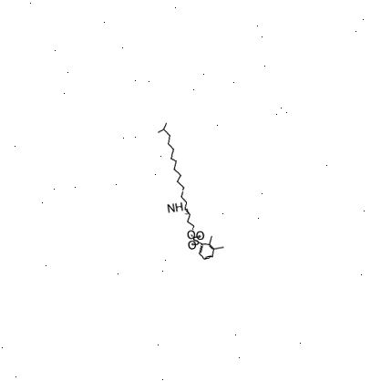 Cc1cccc(S(=O)(=O)OCCCCCCCCCCCCCCCC(C)C)c1C.N